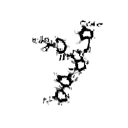 COc1ccc(Cn2nc(N[C@@H]3CCCN(C(=O)OC(C)(C)C)C3)c3c(Oc4ccc(-c5cc(C(F)(F)F)ccn5)cc4)ccnc32)cc1